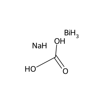 O=C(O)O.[BiH3].[NaH]